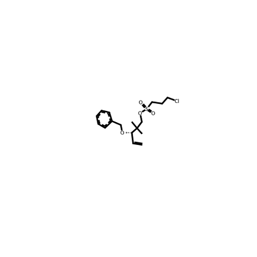 C=C[C@H](OCc1ccccc1)C(C)(C)COS(=O)(=O)CCCCl